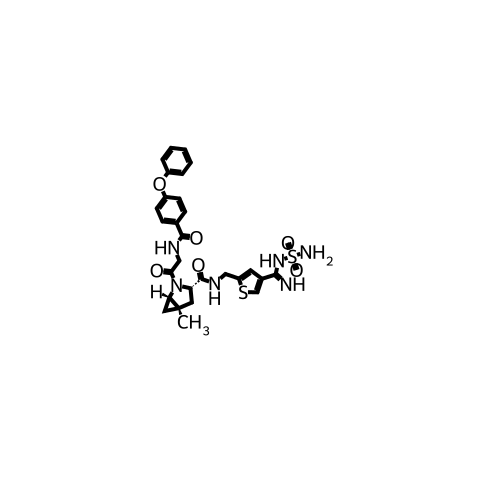 C[C@@]12C[C@@H]1N(C(=O)CNC(=O)c1ccc(Oc3ccccc3)cc1)[C@H](C(=O)NCc1cc(C(=N)NS(N)(=O)=O)cs1)C2